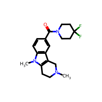 CN1CCc2c(c3cc(C(=O)N4CCC(F)(F)CC4)ccc3n2C)C1